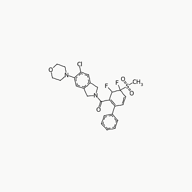 CS(=O)(=O)C1(F)C=CC(c2ccccc2)=C(C(=O)N2Cc3cc(Cl)c(N4CCOCC4)cc3C2)C1F